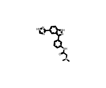 CN(C)CC(=O)Nc1cccc(-c2n[nH]c3ccc(-c4nc[nH]n4)cc23)c1